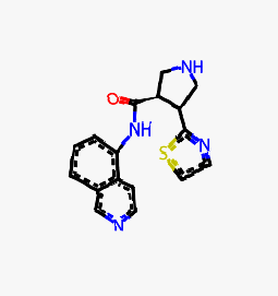 O=C(Nc1cccc2cnccc12)[C@H]1CNCC1c1nccs1